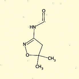 CC1(C)CC(N[C]=O)=NO1